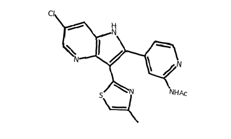 CC(=O)Nc1cc(-c2[nH]c3cc(Cl)cnc3c2-c2nc(C)cs2)ccn1